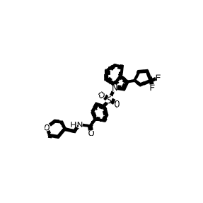 O=C(NCC1CCOCC1)c1ccc(S(=O)(=O)n2cc(C3CCC(F)(F)C3)c3ccccc32)cc1